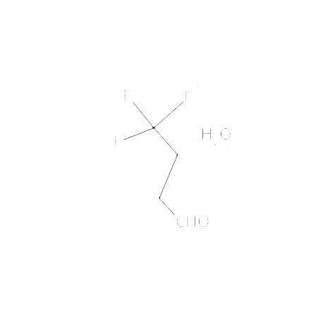 O.O=CCCC(F)(F)F